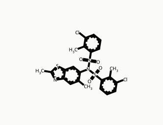 Cc1nc2cc(C)c(N(S(=O)(=O)c3cccc(Cl)c3C)S(=O)(=O)c3cccc(Cl)c3C)cc2s1